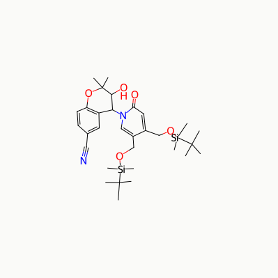 CC1(C)Oc2ccc(C#N)cc2C(n2cc(CO[Si](C)(C)C(C)(C)C)c(CO[Si](C)(C)C(C)(C)C)cc2=O)C1O